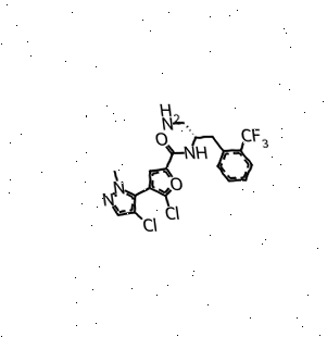 Cn1ncc(Cl)c1-c1cc(C(=O)N[C@H](CN)Cc2ccccc2C(F)(F)F)oc1Cl